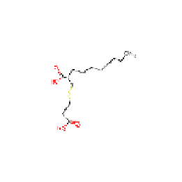 CCCCCCCC(CSCCC(=O)O)C(=O)O